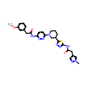 Cn1cc(CC(=O)Nc2nnc(C3CCCN(c4ccc(NC(=O)Cc5cccc(OC(F)(F)F)c5)nn4)C3)s2)cn1